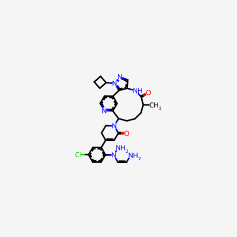 CC1CCCC(N2CCC(c3cc(Cl)ccc3N(N)/C=C\N)=CC2=O)c2cc(ccn2)-c2c(cnn2C2CCC2)NC1=O